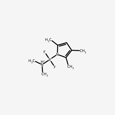 Cc1cc(C)n([B-](F)(F)[NH+](C)C)c1C